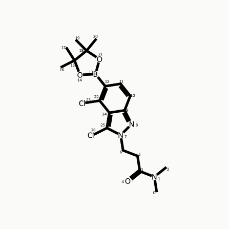 CN(C)C(=O)CCn1nc2ccc(B3OC(C)(C)C(C)(C)O3)c(Cl)c2c1Cl